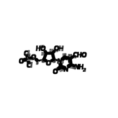 Nc1nc(=O)n([C@@H]2O[C@H](COP(=O)(Cl)Cl)C(O)C2O)cc1C=O